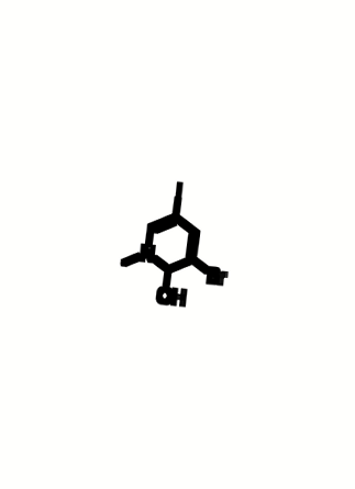 CN1C=C(I)C=C(Br)C1O